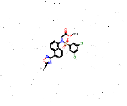 Cc1nc(-c2cccc3c(N(CC(=O)OC(C)(C)C)S(=O)(=O)c4cc(Cl)cc(Cl)c4)cccc23)no1